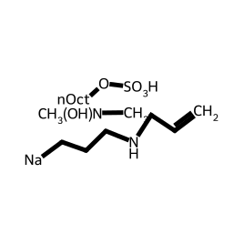 C=CCNCC[CH2][Na].CCCCCCCCOS(=O)(=O)O.CN(C)O